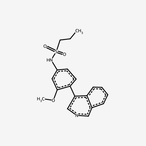 CCCS(=O)(=O)Nc1ccc(-c2cncc3ccccc23)c(OC)c1